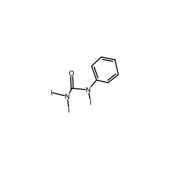 O=C(N(I)I)N(I)c1ccccc1